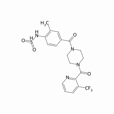 Cc1cc(C(=O)N2CCN(C(=O)c3ncccc3C(F)(F)F)CC2)ccc1N[SH](=O)=O